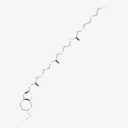 CCCN[C@H]1CCc2nc(NC(=O)COCCNC(=O)COCCNC(=O)COCCOCCOC)sc2C1